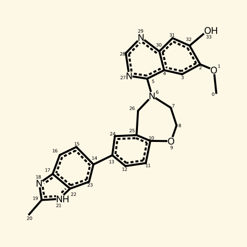 COc1cc2c(N3CCOc4ccc(-c5ccc6nc(C)[nH]c6c5)cc4C3)ncnc2cc1O